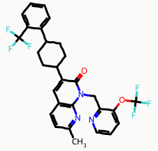 Cc1ccc2cc(C3CCC(c4ccccc4C(F)(F)F)CC3)c(=O)n(Cc3ncccc3OC(F)(F)F)c2n1